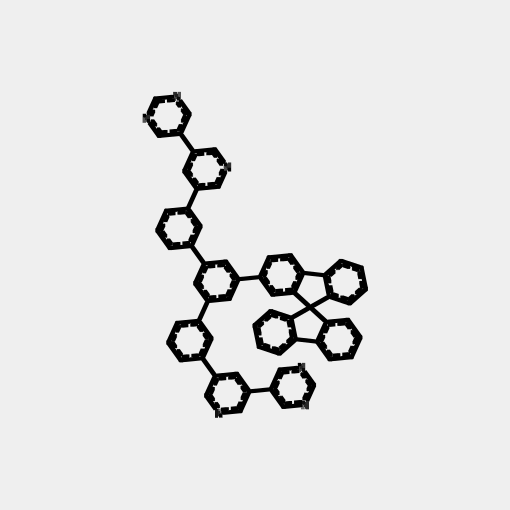 c1cc(-c2cncc(-c3cncnc3)c2)cc(-c2cc(-c3cccc(-c4cncc(-c5cncnc5)c4)c3)cc(-c3ccc4c(c3)C3(c5ccccc5-c5ccccc53)c3ccccc3-4)c2)c1